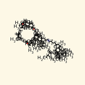 C=CCOC(=O)NC[C@H]1C[C@@H]([C@@H](C)CC(=O)CCC/C=C/C(O)C[C@H]2O[C@H]3[C@H](C)[C@H]4OC(=O)C[C@H]5CC[C@@H]6O[C@H]7CO[C@@](C)(CC[C@H]8CC(=C)[C@H](CC[C@H]9C[C@@H](C)C(=C)[C@@H](C[C@@H]4O[C@H]3CC2O[Si](C)(C)C(C)(C)C)O9)O8)O[C@H](C7OC)[C@H]6O5)[C@@H](O[Si](C)(C)C(C)(C)C)C[C@H]1O[Si](C)(C)C(C)(C)C